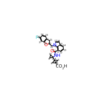 O=C(NC1(C23CC2(C(=O)O)C3)CC1)c1cccc2ccn(CC3Cc4ccc(F)cc4O3)c12